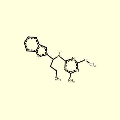 CCCC(Nc1nc(N)nc(OC)n1)c1cc2ccccc2s1